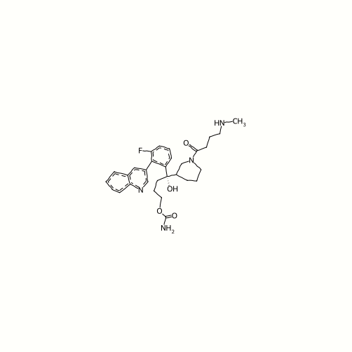 CNCCCC(=O)N1CCCC([C@@](O)(CCCOC(N)=O)c2cccc(F)c2-c2cnc3ccccc3c2)C1